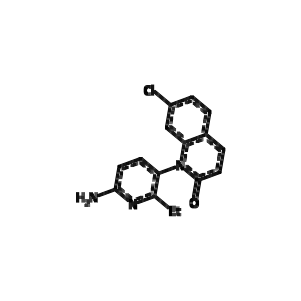 CCc1nc(N)ccc1-n1c(=O)ccc2ccc(Cl)cc21